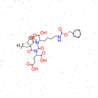 CCC1(CC)C(=O)N(C(CCCCNC(=O)OCc2ccccc2)C(=O)O)C(=O)N(C(CCC(=O)O)C(=O)O)C1=O